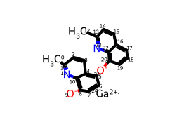 Cc1ccc2cccc([O-])c2n1.Cc1ccc2cccc([O-])c2n1.[Ga+2]